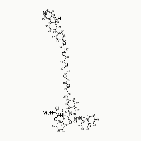 CN[C@@H](C)C(=O)N[C@H](C(=O)N1Cc2cc(OCCOCCOCCOCCOCCOc3ccc(-c4ccc5c(c4)[nH]c4ccncc45)cn3)ccc2C[C@@H]1C(=O)N[C@H]1CCCc2ccccc21)C1CCCCC1